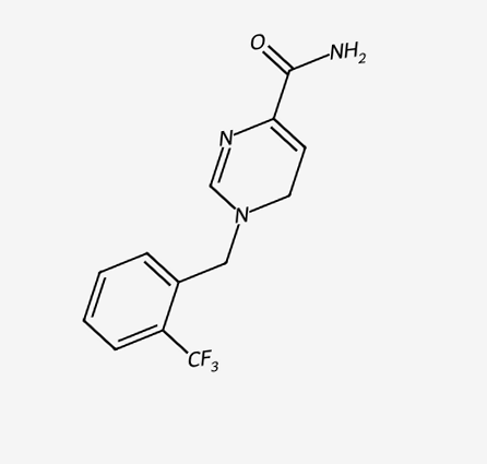 NC(=O)C1=CCN(Cc2ccccc2C(F)(F)F)C=N1